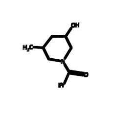 CC1CC(O)CN(C(=O)C(C)C)C1